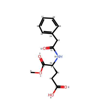 COC(=O)[C@H](CCC(=O)O)NC(=O)Cc1ccccc1